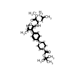 COC(=O)[C@H](CC(C)C)Nc1onc(C)c1-c1ccc(N2CCN(C(=O)OC(C)(C)C)CC2)cc1